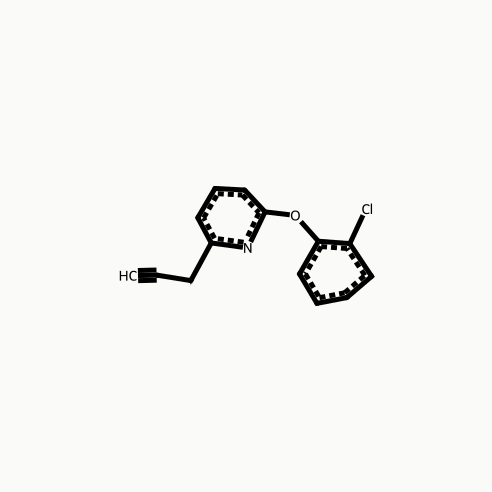 C#C[CH]c1cccc(Oc2ccccc2Cl)n1